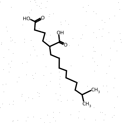 CC(C)CCCCCCCC(CCCC(=O)O)C(=O)O